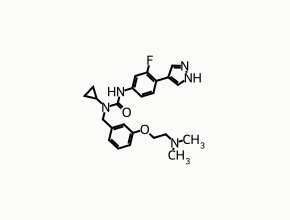 CN(C)CCOc1cccc(CN(C(=O)Nc2ccc(-c3cn[nH]c3)c(F)c2)C2CC2)c1